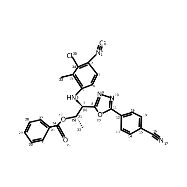 [C-]#[N+]c1ccc(N[C@@H](c2nnc(-c3ccc(C#N)cc3)o2)[C@H](C)OC(=O)c2ccccc2)c(C)c1Cl